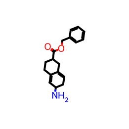 NC1C=C2CCC(C(=O)OCc3ccccc3)CC2=CC1